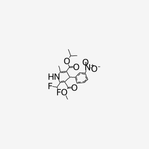 COC(=O)C1=C(C(F)F)NC(C)=C(C(=O)OC(C)C)C1c1cccc([N+](=O)[O-])c1